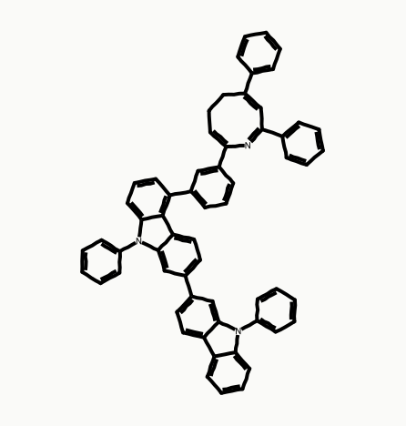 C1=C(c2cccc(-c3cccc4c3c3ccc(-c5ccc6c7ccccc7n(-c7ccccc7)c6c5)cc3n4-c3ccccc3)c2)/N=C(c2ccccc2)\C=C(\c2ccccc2)CC\1